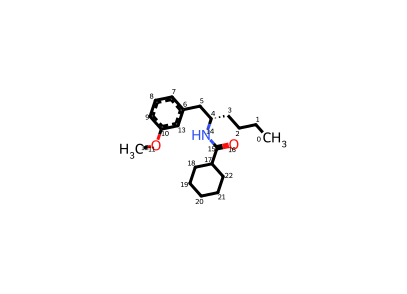 CCCC[C@@H](Cc1cccc(OC)c1)NC(=O)C1CCCCC1